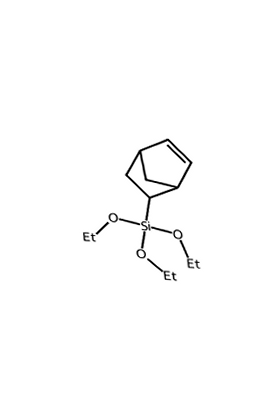 CCO[Si](OCC)(OCC)C1CC2C=CC1C2